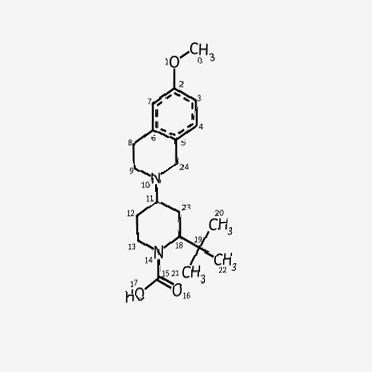 COc1ccc2c(c1)CCN(C1CCN(C(=O)O)C(C(C)(C)C)C1)C2